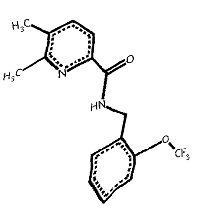 Cc1ccc(C(=O)NCc2ccccc2OC(F)(F)F)nc1C